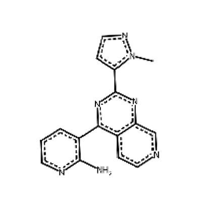 Cn1nccc1-c1nc(-c2cccnc2N)c2ccncc2n1